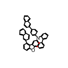 c1ccc(-c2ccccc2N(c2ccc(-c3ccc4ccccc4c3)cc2)c2ccc3oc4cccc(-c5ccc6ccccc6c5)c4c3c2)cc1